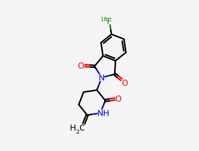 C=C1CCC(N2C(=O)c3ccc([18F])cc3C2=O)C(=O)N1